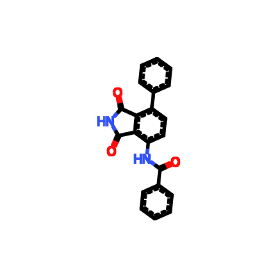 O=C(Nc1ccc(-c2ccccc2)c2c1C(=O)NC2=O)c1ccccc1